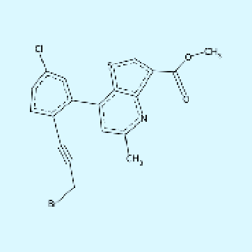 COC(=O)c1csc2c(-c3cc(Cl)ccc3C#CCBr)cc(C)nc12